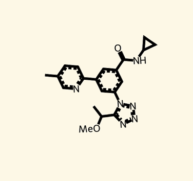 COC(C)c1nnnn1-c1cc(C(=O)NC2CC2)cc(-c2ccc(C)cn2)c1